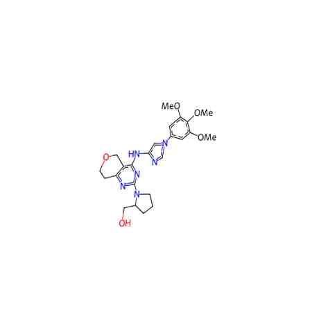 COc1cc(-n2cnc(Nc3nc(N4CCCC4CO)nc4c3COCC4)c2)cc(OC)c1OC